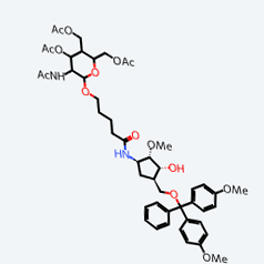 COc1ccc(C(OC[C@H]2C[C@@H](NC(=O)CCCCOC3OC(COC(C)=O)C(COC(C)=O)C(OC(C)=O)C3NC(C)=O)[C@H](OC)[C@@H]2O)(c2ccccc2)c2ccc(OC)cc2)cc1